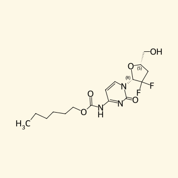 CCCCCCOC(=O)Nc1ccn([C@@H]2O[C@H](CO)CC2(F)F)c(=O)n1